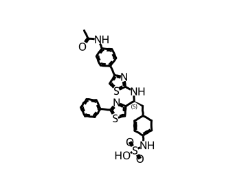 CC(=O)Nc1ccc(-c2csc(N[C@@H](CC3C=CC(NS(=O)(=O)O)=CC3)c3csc(-c4ccccc4)n3)n2)cc1